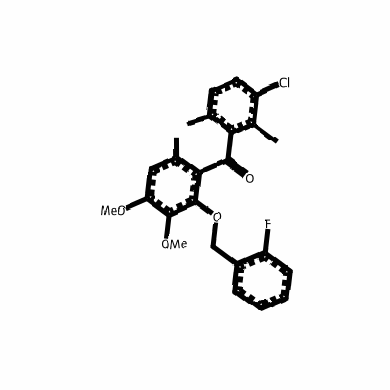 COc1cc(C)c(C(=O)c2c(C)ccc(Cl)c2C)c(OCc2ccccc2F)c1OC